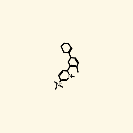 CC1=C(C2C=CC([N+](C)(C)C)=CN2C)CC(C2=CCCCC2)C=C1